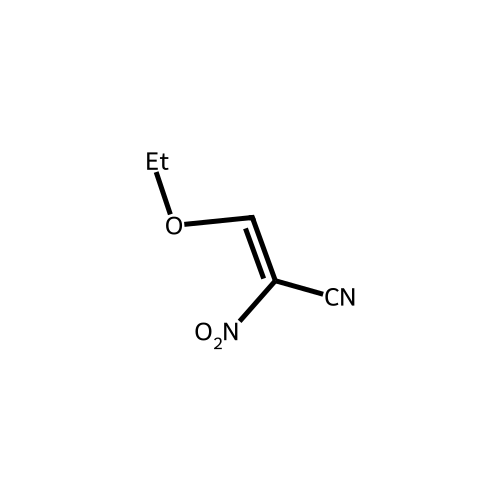 CCO/C=C(/C#N)[N+](=O)[O-]